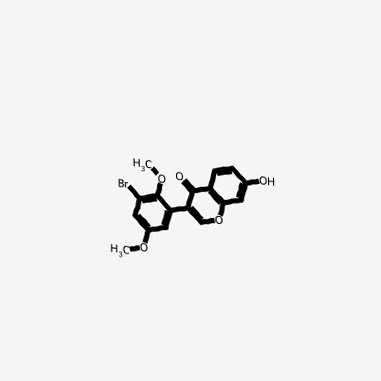 COc1cc(Br)c(OC)c(-c2coc3cc(O)ccc3c2=O)c1